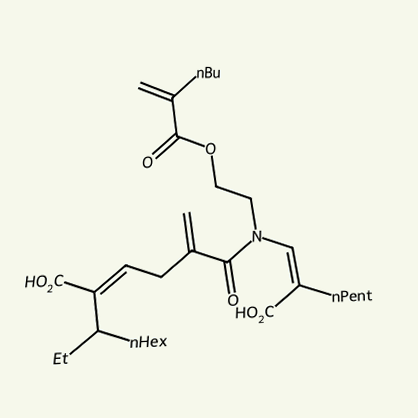 C=C(CCCC)C(=O)OCCN(C=C(CCCCC)C(=O)O)C(=O)C(=C)CC=C(C(=O)O)C(CC)CCCCCC